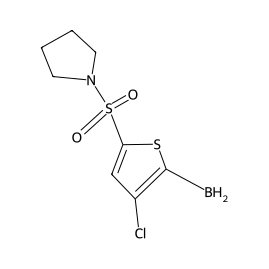 Bc1sc(S(=O)(=O)N2CCCC2)cc1Cl